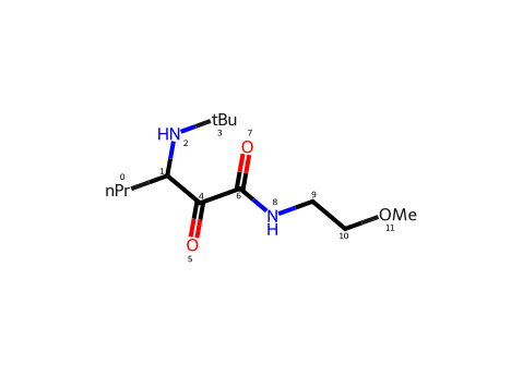 CCCC(NC(C)(C)C)C(=O)C(=O)NCCOC